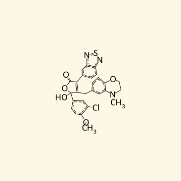 COc1ccc(C2(O)OC(=O)C(c3ccc4nsnc4c3)=C2Cc2ccc3c(c2)N(C)CCO3)cc1Cl